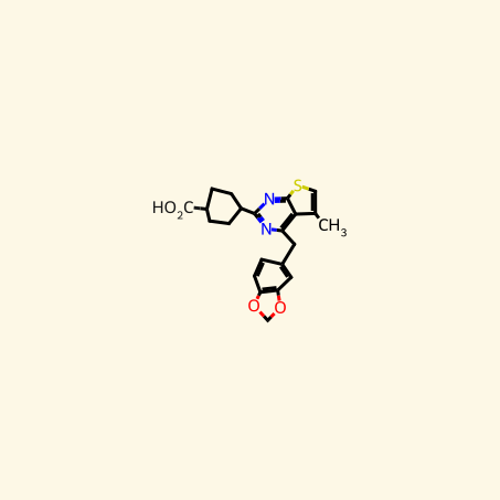 Cc1csc2nc(C3CCC(C(=O)O)CC3)nc(Cc3ccc4c(c3)OCO4)c12